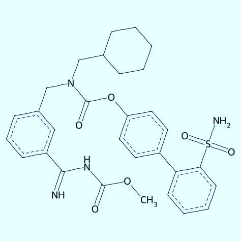 COC(=O)NC(=N)c1cccc(CN(CC2CCCCC2)C(=O)Oc2ccc(-c3ccccc3S(N)(=O)=O)cc2)c1